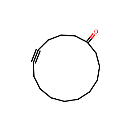 O=C1CCCC#CCCCCCCCCC1